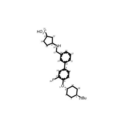 CC(C)(C)[C@H]1CC[C@H](Oc2ccc(-c3cccc(CNC4CCC(C(=O)O)C4)c3)cc2F)CC1